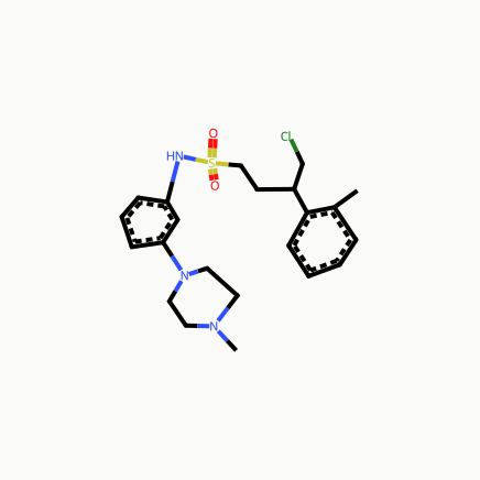 Cc1ccccc1C(CCl)CCS(=O)(=O)Nc1cccc(N2CCN(C)CC2)c1